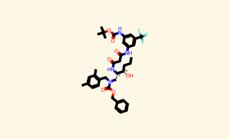 CCC[C@H](O)[C@H](CN(Cc1ccc(C)cc1C)C(=O)OCc1ccccc1)NC(=O)CC(=O)Nc1cc(NC(=O)OC(C)(C)C)cc(C(F)(F)F)c1